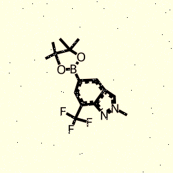 Cn1cc2cc(B3OC(C)(C)C(C)(C)O3)cc(C(F)(F)F)c2n1